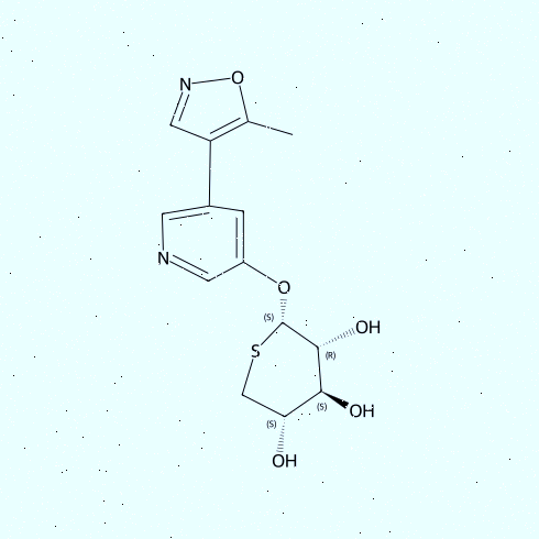 Cc1oncc1-c1cncc(O[C@H]2SC[C@@H](O)[C@H](O)[C@H]2O)c1